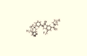 CC[C@@H](c1cc2c(c(C(F)(F)F)c1)CN(c1cccc(C3(Cc4nncn4C)COC3)c1)C2=O)N1CC[C@H](F)C1